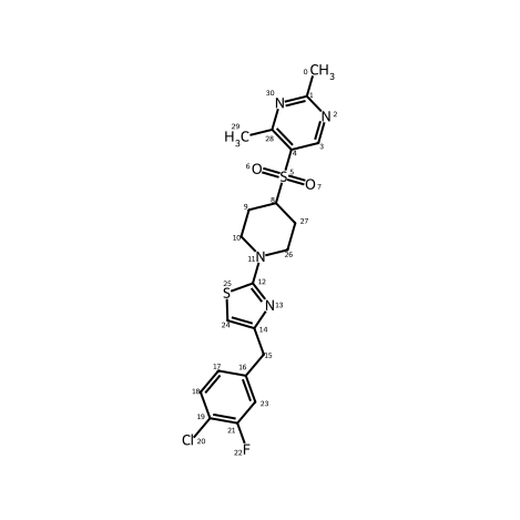 Cc1ncc(S(=O)(=O)C2CCN(c3nc(Cc4ccc(Cl)c(F)c4)cs3)CC2)c(C)n1